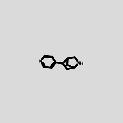 c1cc(N2CC3CC2CN3)ccn1